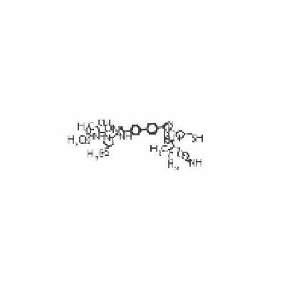 COC(=O)N[C@H](C(=O)N1C[C@H](SC)CC1c1ncc(-c2ccc(-c3ccc(-c4cnc([C@@H]5C[C@@H](CS)CN5C(=O)[C@@H](COOC=N)C(C)C)[nH]4)cc3)cc2)[nH]1)C(C)C